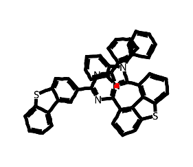 c1ccc(-c2nc(-c3ccc4sc5ccccc5c4c3)nc(-c3cccc4sc5cccc(-c6nc7ccccc7n6-c6ccccc6)c5c34)n2)cc1